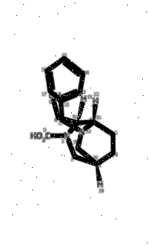 O=C(O)N1C[C@H]2CC[C@@H]([C@H]1CO)N(Cc1ccccc1)C2